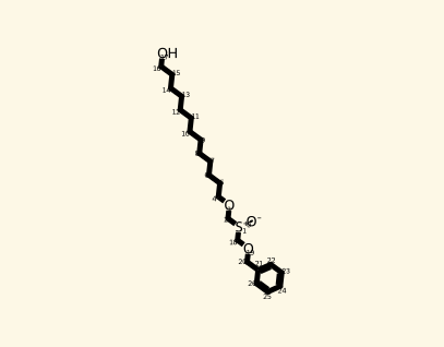 [O-][S@@+](COCCCCCCCCCCCCCO)COCc1ccccc1